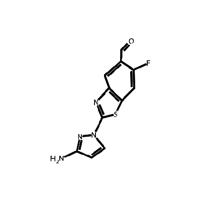 Nc1ccn(-c2nc3cc(C=O)c(F)cc3s2)n1